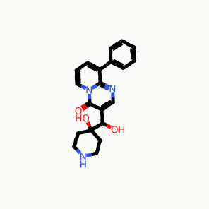 O=c1c(C(O)C2(O)CCNCC2)cnc2c(-c3ccccc3)cccn12